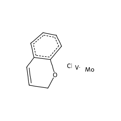 C1=Cc2ccccc2OC1.[C].[Mo].[V]